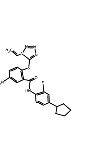 C=Cn1nnnc1Sc1ccc([N+](=O)[O-])cc1C(=O)Nc1ncc(C2CCCC2)cc1F